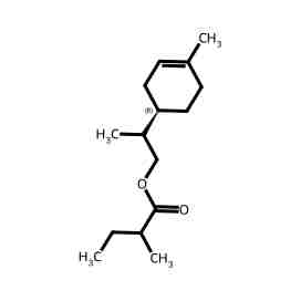 CCC(C)C(=O)OCC(C)[C@H]1CC=C(C)CC1